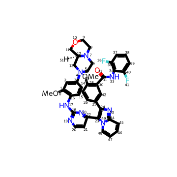 COc1cc(N2CCN3CCOC[C@@H]3C2)ccc1Nc1nccc(-c2c(-c3ccc(OC)c(C(=O)Nc4c(F)cccc4F)c3)nc3ccccn23)n1